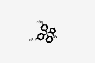 CCCCc1ccc([Si](C2=C(C(C)C)C=CC2)(c2ccccc2)c2ccc(CCCC)cc2)cc1